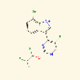 Fc1cnc(OC(F)C(F)F)nc1-c1c[nH]c2c(Br)cccc12